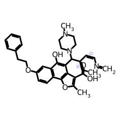 C=N/C=C\C(=C/C)C(c1c(O)c2cc(OCCc3ccccc3)ccc2c2oc(C)c(C(=O)O)c12)N1CCN(C)CC1